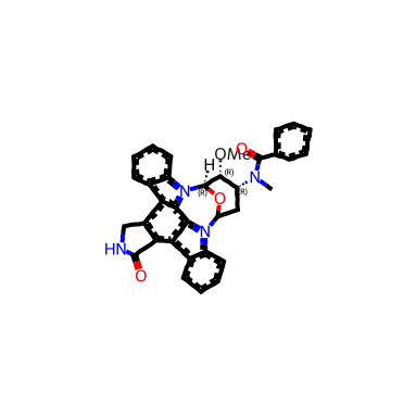 CO[C@@H]1[C@H](N(C)C(=O)c2ccccc2)CC2O[C@H]1n1c3ccccc3c3c4c(c5c6ccccc6n2c5c31)C(=O)NC4